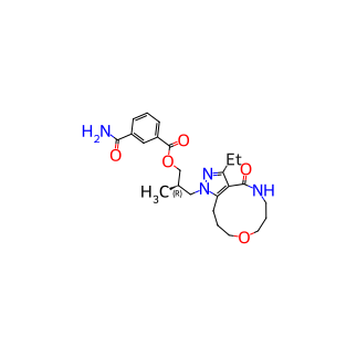 CCc1nn(C[C@@H](C)COC(=O)c2cccc(C(N)=O)c2)c2c1C(=O)NCCCOCCC2